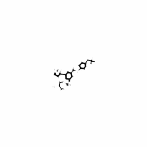 O=C(Nc1ccc(CC(F)(F)Cl)cc1)c1cc(-c2ccn[nH]2)c2c(c1)nc1n2C[C@H](O)CO1